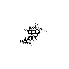 COc1cc2c(cc1OC(C)C)C(c1ccc(Cl)cc1)N(c1ccc(-c3c(C)n[nH]c3C)nc1)C(=O)C2